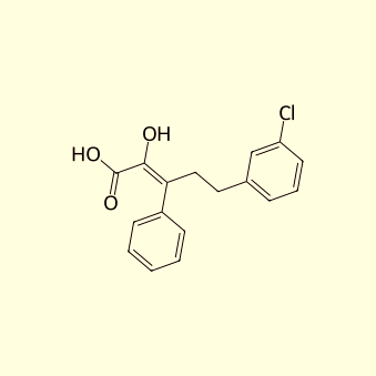 O=C(O)/C(O)=C(/CCc1cccc(Cl)c1)c1ccccc1